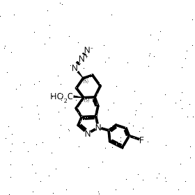 [N-]=[N+]=N[C@H]1CCC2=Cc3c(cnn3-c3ccc(F)cc3)C[C@]2(C(=O)O)C1